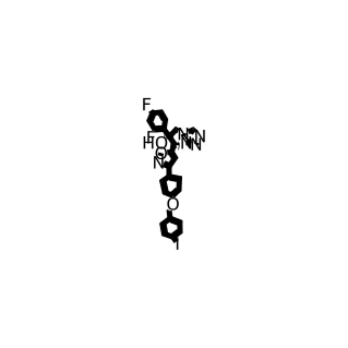 C[C@@H](c1cc(-c2ccc(OCc3ccc(I)cc3)cc2)no1)[C@](O)(Cn1cnnn1)c1ccc(F)cc1F